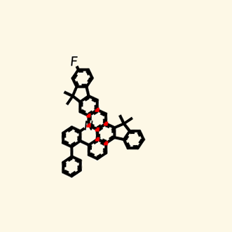 CC1(C)c2ccccc2-c2ccc(N(c3ccc4c(c3)C(C)(C)c3cc(F)ccc3-4)c3cccc(-c4ccccc4)c3-c3ccccc3-c3ccccc3)cc21